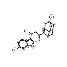 Cc1ccc2c(C(C)CC(=O)N3C4CC5CC3CC(O)(C5)C4)c[nH]c2c1